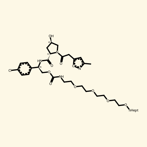 CCCCCCCOCCOCCOCCOCCNC(=O)OC[C@H](NC(=O)[C@@H]1C[C@@H](O)CN1C(=O)Cc1cc(C)no1)c1ccc(Cl)cc1